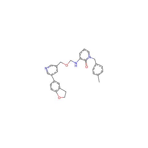 Cc1ccc(Cn2cccc(NCOCc3cncc(-c4ccc5c(c4)CCO5)c3)c2=O)cc1